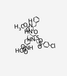 COC(=O)N[C@@H](Cc1ccccc1)C(=O)N[C@@H](Cc1ccc(NS(=O)(=O)O)cc1)C1=CSC(CS(=O)(=O)c2ccc(Cl)cc2)N1